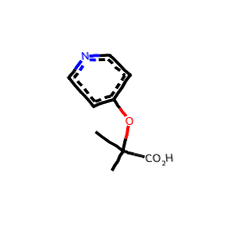 CC(C)(Oc1ccncc1)C(=O)O